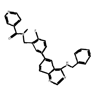 CN(Cc1cc(-c2ccc3ncnc(NCc4ccccc4)c3c2)ccc1F)C(=O)c1ccncc1